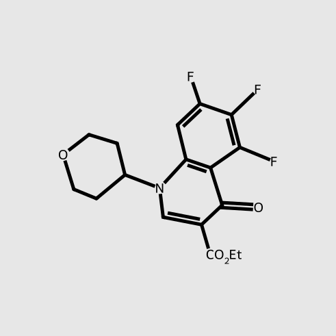 CCOC(=O)c1cn(C2CCOCC2)c2cc(F)c(F)c(F)c2c1=O